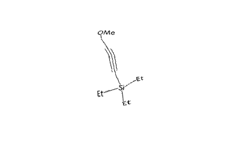 CC[Si](C#COC)(CC)CC